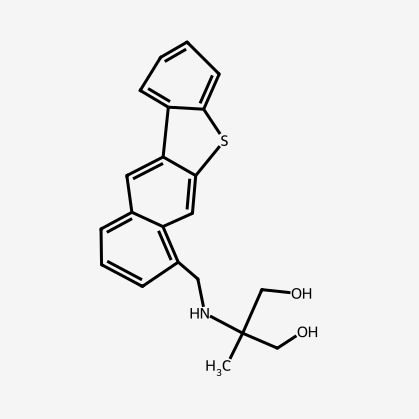 CC(CO)(CO)NCc1cccc2cc3c(cc12)sc1ccccc13